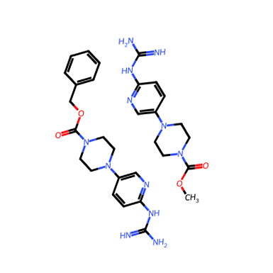 COC(=O)N1CCN(c2ccc(NC(=N)N)nc2)CC1.N=C(N)Nc1ccc(N2CCN(C(=O)OCc3ccccc3)CC2)cn1